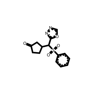 O=C1CCC(C(c2nnco2)S(=O)(=O)c2ccccc2)C1